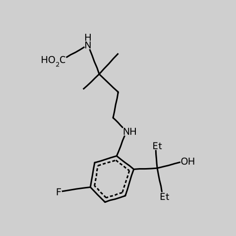 CCC(O)(CC)c1ccc(F)cc1NCCC(C)(C)NC(=O)O